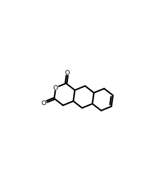 O=C1CC2CC3CC=CCC3CC2C(=O)O1